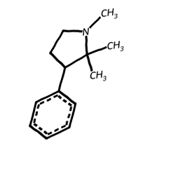 CN1CCC(c2ccccc2)C1(C)C